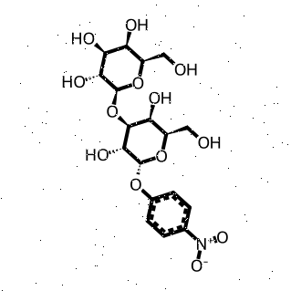 O=[N+]([O-])c1ccc(O[C@H]2O[C@H](CO)[C@H](O)[C@H](O[C@@H]3O[C@H](CO)[C@H](O)[C@H](O)[C@H]3O)[C@H]2O)cc1